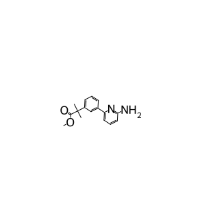 COC(=O)C(C)(C)c1cccc(-c2cccc(N)n2)c1